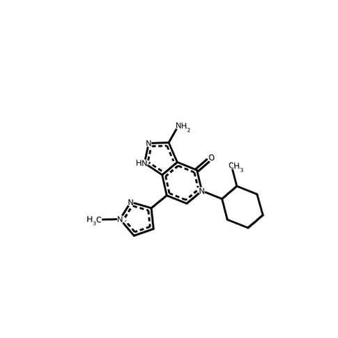 CC1CCCCC1n1cc(-c2ccn(C)n2)c2[nH]nc(N)c2c1=O